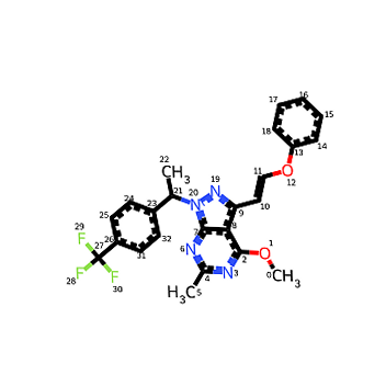 COc1nc(C)nc2c1c(C=COc1ccccc1)nn2C(C)c1ccc(C(F)(F)F)cc1